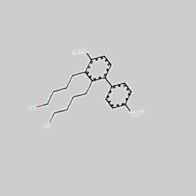 O=C(O)c1ccc(-c2ccc(C(=O)O)c(CCCCO)c2CCCCO)cc1